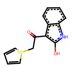 O=C(C[SH]1C=CC=C1)c1c(O)[nH]c2ccccc12